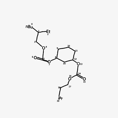 CCCCC(CC)COC(=O)OC1CCCC(OC(=O)OCCC(C)C)C1